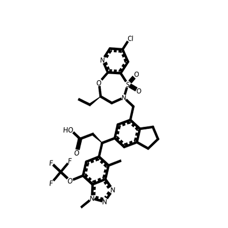 CC[C@@H]1CN(Cc2cc([C@H](CC(=O)O)c3cc(OC(F)(F)F)c4c(nnn4C)c3C)cc3c2CCC3)S(=O)(=O)c2cc(Cl)cnc2O1